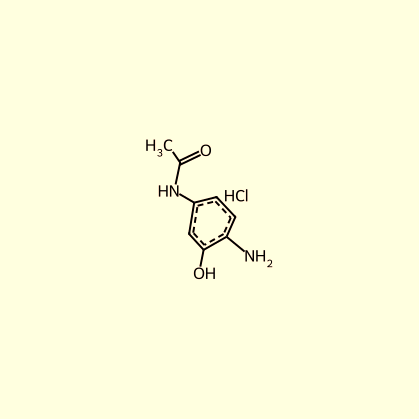 CC(=O)Nc1ccc(N)c(O)c1.Cl